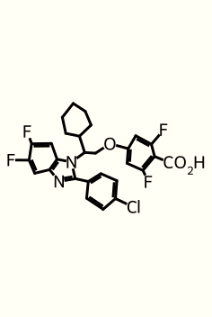 O=C(O)c1c(F)cc(OCC(C2CCCCC2)n2c(-c3ccc(Cl)cc3)nc3cc(F)c(F)cc32)cc1F